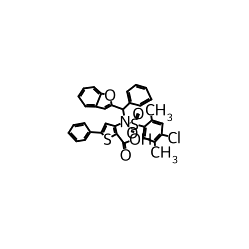 Cc1cc(S(=O)(=O)N(c2cc(-c3ccccc3)sc2C(=O)O)C(c2ccccc2)c2cc3ccccc3o2)c(C)cc1Cl